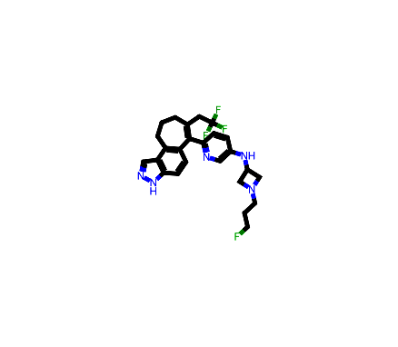 FCCCN1CC(Nc2ccc(C3=C(CC(F)(F)F)CCCc4c3ccc3[nH]ncc43)nc2)C1